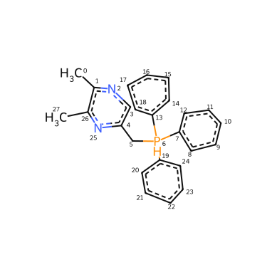 Cc1ncc(C[PH](c2ccccc2)(c2ccccc2)c2ccccc2)nc1C